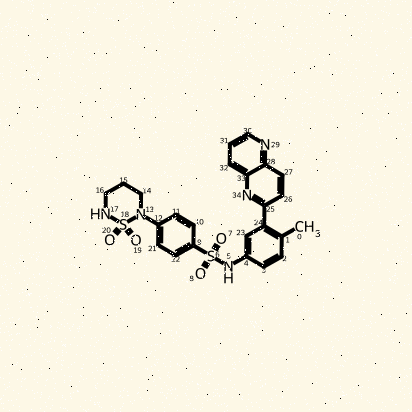 Cc1ccc(NS(=O)(=O)c2ccc(N3CCCNS3(=O)=O)cc2)cc1-c1ccc2ncccc2n1